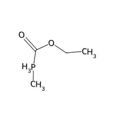 CCOC(=O)[PH3]C